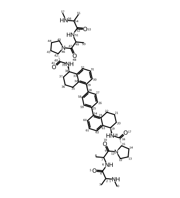 CNC(C)C(=O)NC(C)C(=O)N1CCC[C@H]1C(=O)N[C@@H]1CCCc2c(-c3ccc(-c4cccc5c4CCC[C@H]5NC(=O)[C@@H]4CCCN4C(=O)C(C)NC(=O)C(C)NC)cc3)cccc21